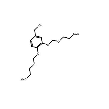 COCCOCOc1ccc(CO)cc1OCOCCOC